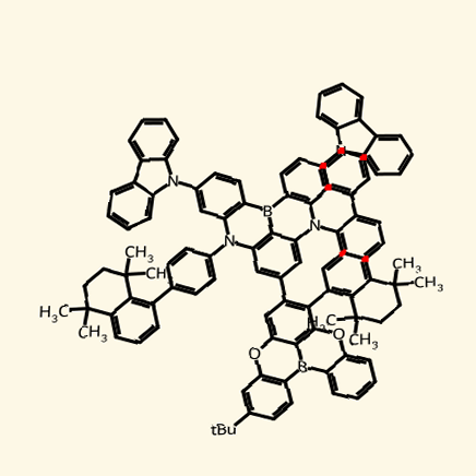 CC(C)(C)c1ccc2c(c1)Oc1cc(-c3cc4c5c(c3)N(c3ccccc3-c3ccccc3)c3cc(-n6c7ccccc7c7ccccc76)ccc3B5c3ccc(-n5c6ccccc6c6ccccc65)cc3N4c3ccc(-c4cccc5c4C(C)(C)CCC5(C)C)cc3)c(-c3cccc4c3C(C)(C)CCC4(C)C)c3c1B2c1ccccc1O3